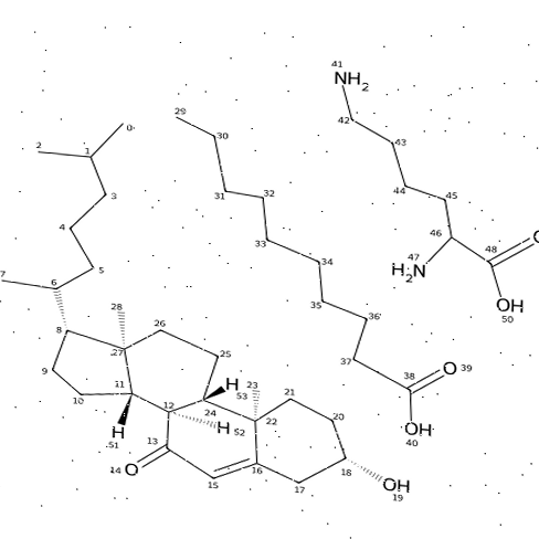 CC(C)CCCC(C)[C@H]1CC[C@H]2[C@@H]3C(=O)C=C4C[C@@H](O)CC[C@]4(C)[C@H]3CC[C@]12C.CCCCCCCCCC(=O)O.NCCCCC(N)C(=O)O